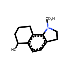 N#CC1CCCc2c1ccc1c2N(C(=O)O)CC1